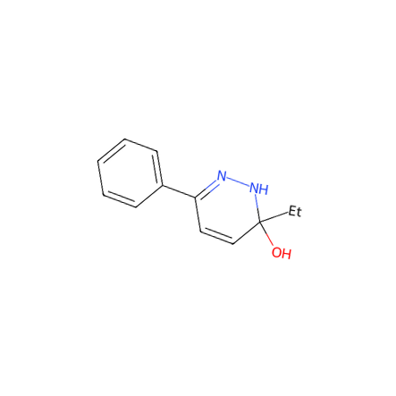 CCC1(O)C=CC(c2ccccc2)=NN1